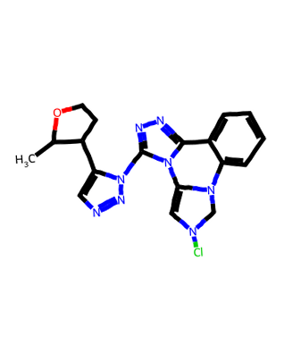 CC1OCCC1c1cnnn1-c1nnc2n1C1=CN(Cl)CN1c1ccccc1-2